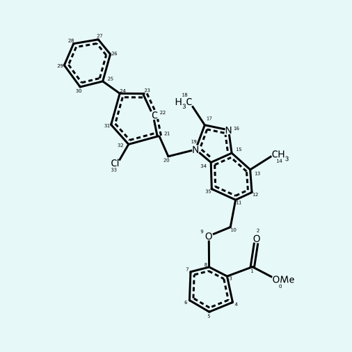 COC(=O)c1ccccc1OCc1cc(C)c2nc(C)n(Cc3ccc(-c4ccccc4)cc3Cl)c2c1